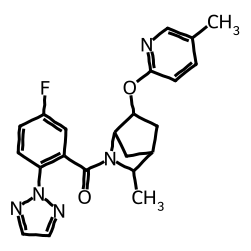 Cc1ccc(OC2CC3CC2N(C(=O)c2cc(F)ccc2-n2nccn2)C3C)nc1